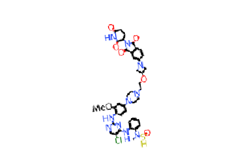 COc1cc(N2CCN(CCOC3CN(c4ccc5c(c4)C(=O)N(C4CCC(=O)NC4=O)C5=O)C3)CC2)ccc1Nc1ncc(Cl)c(Nc2ccccc2N(C)[SH]=O)n1